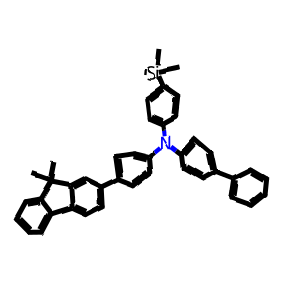 CC1(C)c2ccccc2-c2ccc(-c3ccc(N(c4ccc(-c5ccccc5)cc4)c4ccc([Si](C)(C)C)cc4)cc3)cc21